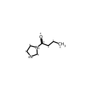 CCCC(=O)N1CC[N]C1